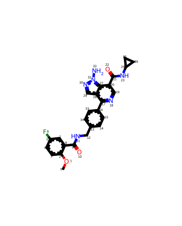 COc1ccc(F)cc1C(=O)NCc1ccc(-c2ncc(C(=O)NC3CC3)c3c2cnn3N)cc1